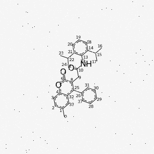 Cc1ccc2oc(=O)c(CC(=O)Nc3c(C(C)C)cccc3C(C)C)c(-c3ccccc3)c2c1